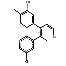 CC/C=C\C(C1=CC(C#N)=C(C)CC1)=C(/C)c1cccc(Cl)c1